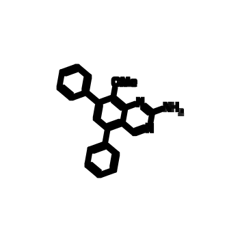 COc1c(-c2ccccc2)cc(-c2ccccc2)c2cnc(N)nc12